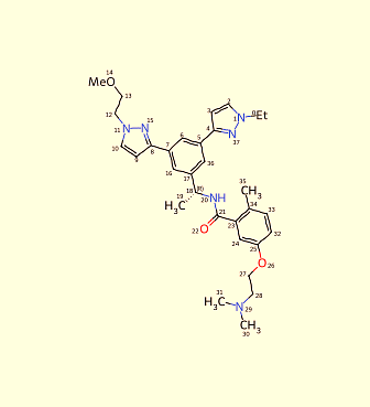 CCn1ccc(-c2cc(-c3ccn(CCOC)n3)cc([C@@H](C)NC(=O)c3cc(OCCN(C)C)ccc3C)c2)n1